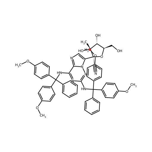 COc1ccc(C(Nc2nc(NC(c3ccccc3)(c3ccc(OC)cc3)c3ccc(OC)cc3)c3ncc([C@]4(C#N)O[C@H](CO)[C@@H](O)[C@@]4(C)O)n3n2)(c2ccccc2)c2ccc(OC)cc2)cc1